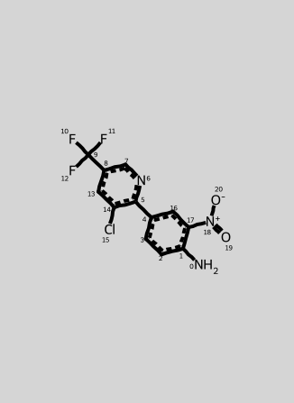 Nc1ccc(-c2ncc(C(F)(F)F)cc2Cl)cc1[N+](=O)[O-]